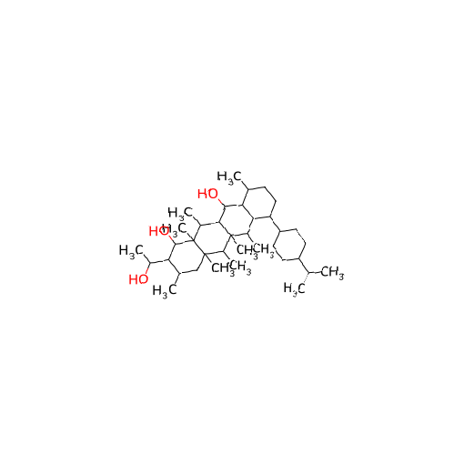 CC(C)C1CCC(C2CCC(C)C3C(O)C4C(C)C5(C)C(O)C(C(C)O)C(C)CC5(C)C(C)C4(C)C(C)C23)CC1